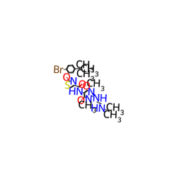 COc1nc(NCCNC(C)C)nc(OC)c1NC(=O)c1csc(Oc2cc(C(C)(C)C)ccc2Br)n1